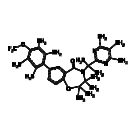 Bc1nc(C(B)(B)N2C(=O)c3cc(-c4c(B)c(B)c(OC(F)(F)F)c(B)c4B)ccc3OC(B)(B)C2(B)B)nc(B)c1B